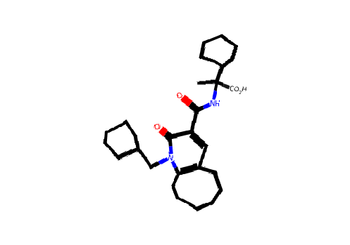 CC(NC(=O)c1cc2c(n(CC3CCCCC3)c1=O)CCCCCC2)(C(=O)O)C1CCCCC1